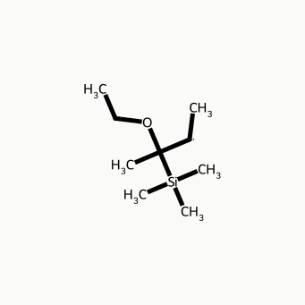 C[CH]C(C)(OCC)[Si](C)(C)C